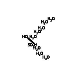 O.O.O.O.O.O.O.O.O=S(=O)(O)O